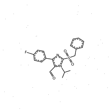 CC(C)n1c(S(=O)(=O)Cc2ccccc2)nc(-c2ccc(F)cc2)c1C=O